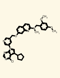 COc1ccc(CN(C)c2ccc3ccc(OCc4cncc(-n5cc(C6CCCC6)c6c(Cl)ncnc65)c4)cc3n2)c(OC)c1